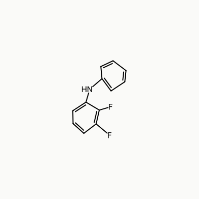 Fc1cccc(Nc2ccccc2)c1F